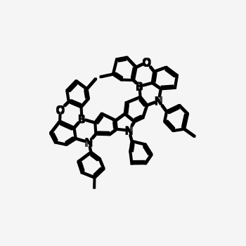 Cc1ccc(N2c3cc4c(cc3B3c5cc(C)ccc5Oc5cccc2c53)c2cc3c(cc2n4-c2ccccc2)N(c2ccc(C)cc2)c2cccc4c2B3c2cc(C)ccc2O4)cc1